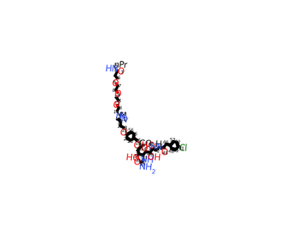 CCCNC(=O)CCOCCOCCOCCn1cc(CCOc2ccc(CO[C@]3(C(=O)O)C[C@H](O)[C@@H](NC(N)=O)[C@H]([C@H](O)[C@H](O)CNC(=O)Cc4ccc(Cl)cc4)O3)cc2)nn1